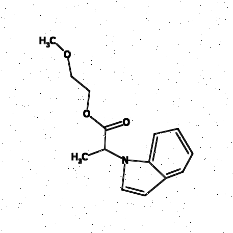 COCCOC(=O)C(C)n1ccc2ccccc21